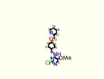 COc1cnc(Cl)nc1NCc1ccc(OCc2ccccn2)cc1